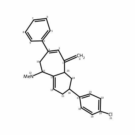 C=C1C=C(c2ccccc2)CC(NC)C2=CCC(c3ccc(Cl)cc3)CC12